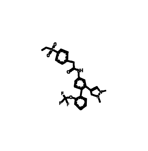 CCS(=O)(=O)c1ccc(CC(=O)Nc2ccc(-c3ccccc3OC(F)(F)F)c(C3=CN(C)N(C)C3)c2)cc1